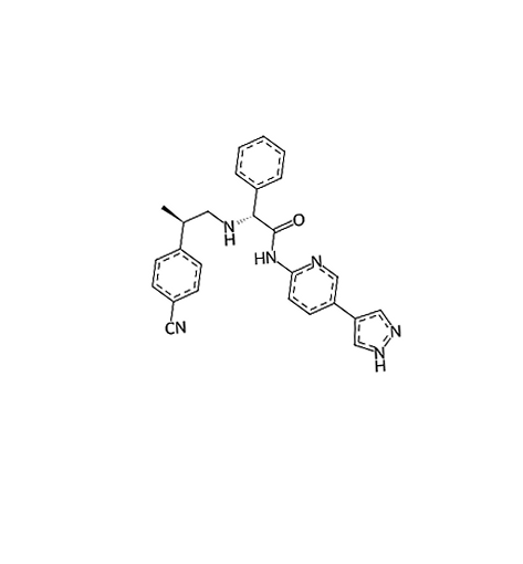 C[C@@H](CN[C@@H](C(=O)Nc1ccc(-c2cn[nH]c2)cn1)c1ccccc1)c1ccc(C#N)cc1